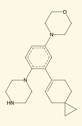 C1=C(c2cc(N3CCOCC3)ccc2N2CCNCC2)CCC2(C1)CC2